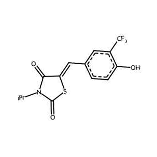 CC(C)N1C(=O)S/C(=C\c2ccc(O)c(C(F)(F)F)c2)C1=O